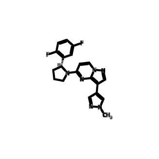 Cn1cc(-c2cnn3ccc(N4CCC[C@@H]4c4cc(F)ccc4F)nc23)cn1